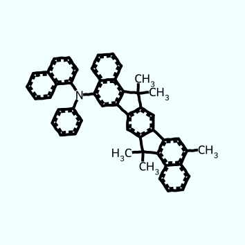 Cc1cc2c(c3ccccc13)C(C)(C)c1cc3c(cc1-2)C(C)(C)c1c-3cc(N(c2ccccc2)c2cccc3ccccc23)c2ccccc12